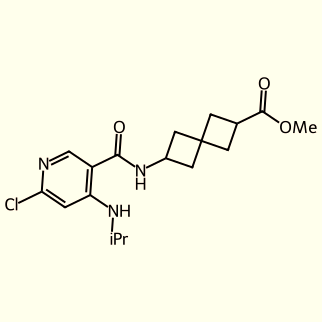 COC(=O)C1CC2(CC(NC(=O)c3cnc(Cl)cc3NC(C)C)C2)C1